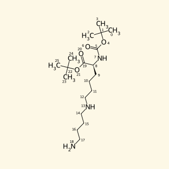 CC(C)(C)OC(=O)N[C@@H](CCCCNCCCCN)C(=O)OC(C)(C)C